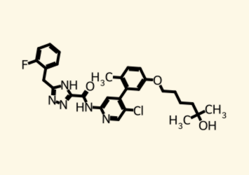 Cc1ccc(OCCCCC(C)(C)O)cc1-c1cc(NC(=O)c2nnc(Cc3ccccc3F)[nH]2)ncc1Cl